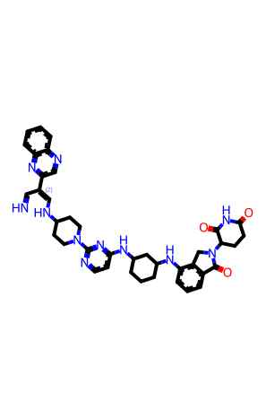 N=C/C(=C\NC1CCN(c2nccc(NC3CCCC(Nc4cccc5c4CN(C4CCC(=O)NC4=O)C5=O)C3)n2)CC1)c1cnc2ccccc2n1